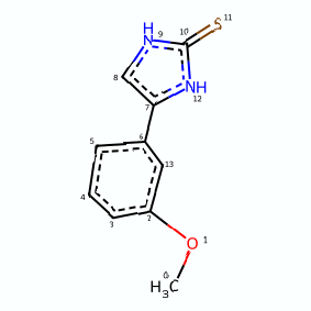 COc1cccc(-c2c[nH]c(=S)[nH]2)c1